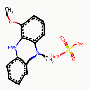 COc1cccc2c1Nc1ccccc1N2C.O=S(=O)(O)O